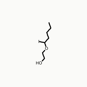 CCCCC(I)OCCO